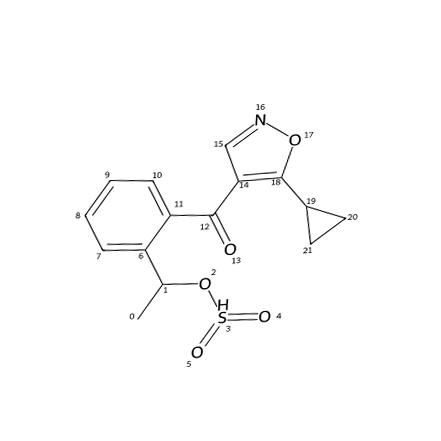 CC(O[SH](=O)=O)c1ccccc1C(=O)c1cnoc1C1CC1